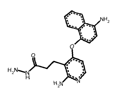 NNC(=O)CCc1c(Oc2ccc(N)c3ccccc23)ccnc1N